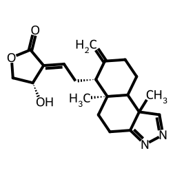 C=C1CCC2C3(C)C=NN=C3CC[C@@]2(C)[C@@H]1C/C=C1/C(=O)OC[C@H]1O